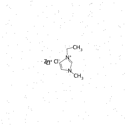 CC[n+]1ccn(C)c1.[Cl-].[Cl-].[Zn+]